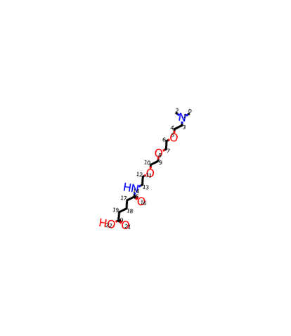 CN(C)CCOCCOCCOCCNC(=O)CCCC(=O)O